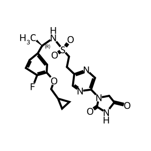 C[C@@H](NS(=O)(=O)CCc1cnc(N2CC(=O)NC2=O)cn1)c1ccc(F)c(OCC2CC2)c1